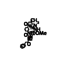 COc1cc(N2CC3CCC2CN3C(=O)CC23CC4CC(CC2C4)C3)ccc1Nc1ncc2c(C)cc(=O)n(-c3cccc(NC(=O)C4CC4)c3)c2n1